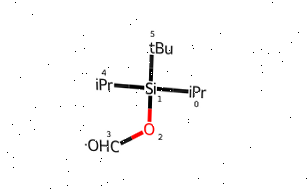 CC(C)[Si](O[C]=O)(C(C)C)C(C)(C)C